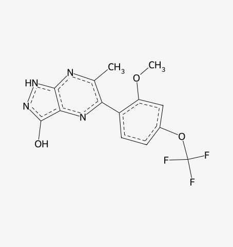 COc1cc(OC(F)(F)F)ccc1-c1nc2c(O)n[nH]c2nc1C